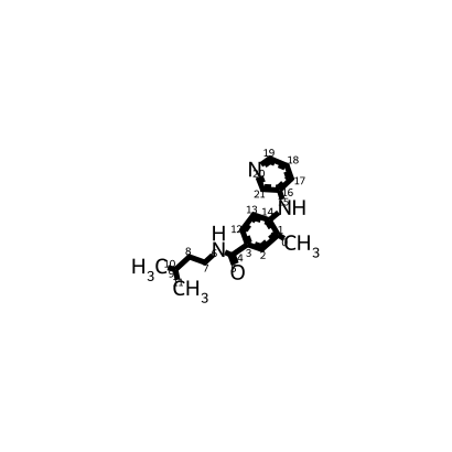 Cc1cc(C(=O)NCCC(C)C)ccc1Nc1cccnc1